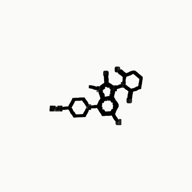 CNC1CCN(c2cc(Cl)cc3c2n(C)c(=O)n3N2C(=O)CCCC2=O)CC1